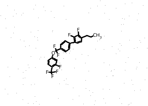 CCCc1ccc(-c2ccc(C(F)(F)Oc3ccc(C(F)(F)F)c(F)c3)cc2)c(F)c1F